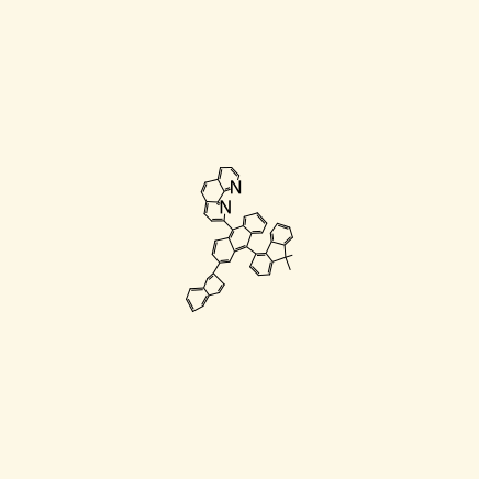 CC1(C)c2ccccc2-c2c(-c3c4ccccc4c(-c4ccc5ccc6cccnc6c5n4)c4ccc(-c5ccc6ccccc6c5)cc34)cccc21